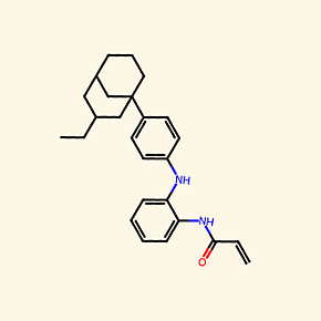 C=CC(=O)Nc1ccccc1Nc1ccc(C23CCCC(CC(CC)C2)C3)cc1